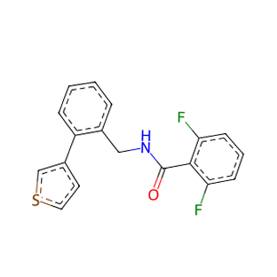 O=C(NCc1ccccc1-c1ccsc1)c1c(F)cccc1F